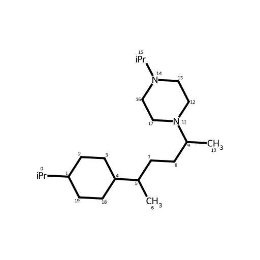 CC(C)C1CCC(C(C)CCC(C)N2CCN(C(C)C)CC2)CC1